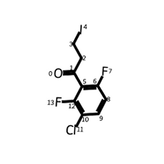 O=C(CCI)c1c(F)ccc(Cl)c1F